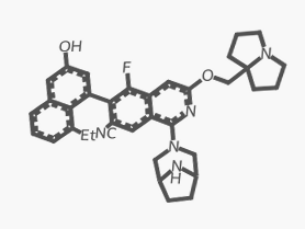 CCc1cccc2cc(O)cc(-c3c(C#N)cc4c(N5CC6CCC(C5)N6)nc(OCC56CCCN5CCC6)cc4c3F)c12